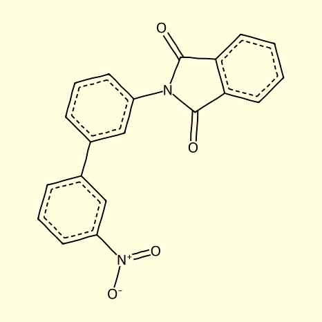 O=C1c2ccccc2C(=O)N1c1cccc(-c2cccc([N+](=O)[O-])c2)c1